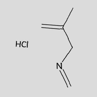 C=NCC(=C)C.Cl